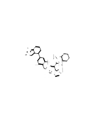 Cn1cc2c(-c3cc(F)c(Cn4cc(C(=O)N[C@H]5CCCC[C@@H]5O)c5nccn5c4=O)c(F)c3)cccc2n1